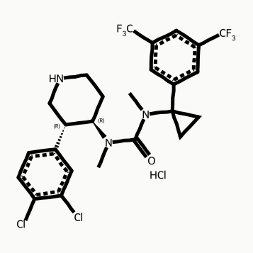 CN(C(=O)N(C)C1(c2cc(C(F)(F)F)cc(C(F)(F)F)c2)CC1)[C@@H]1CCNC[C@H]1c1ccc(Cl)c(Cl)c1.Cl